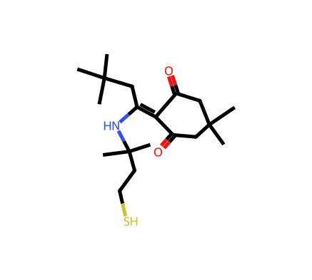 CC(C)(C)CC(NC(C)(C)CCS)=C1C(=O)CC(C)(C)CC1=O